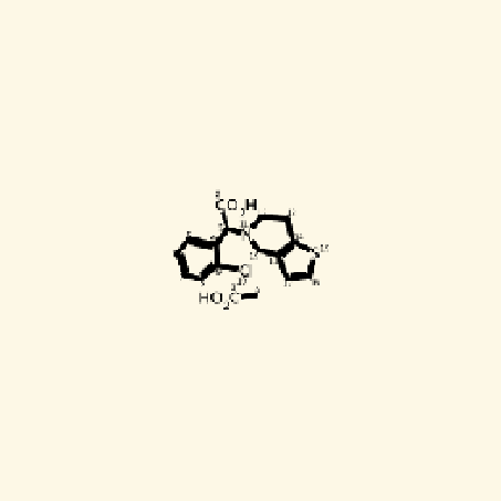 CC(=O)O.O=C(O)[C@H](c1ccccc1Cl)N1CCc2sccc2C1